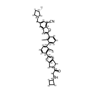 Cc1c(-c2nc3cc(CN4CC[C@H](C)C4)cc(C#N)c3o2)cccc1-c1cccc(-c2nc3c(s2)CN(C(=O)CNC2CCC2)C3)c1C